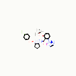 [2H]C([2H])([2H])Oc1cccc(-n2nccn2)c1C(=O)N[C@H]1CCC[C@@H]1COc1ccc(F)cc1